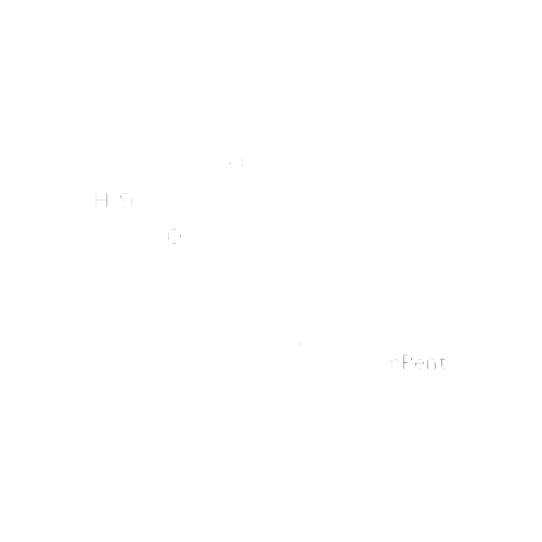 CCCCCCC(C)(C)CCC(=O)O[SiH3]